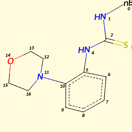 CCCCNC(=S)Nc1ccccc1N1CCOCC1